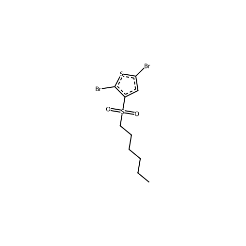 CCCCCCS(=O)(=O)c1cc(Br)sc1Br